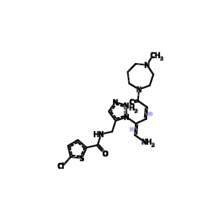 C=C(/C=C\C(=C/N)n1nncc1CNC(=O)c1ccc(Cl)s1)N1CCCN(C)CC1